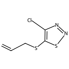 C=CCSc1snnc1Cl